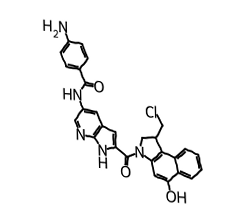 Nc1ccc(C(=O)Nc2cnc3[nH]c(C(=O)N4CC(CCl)c5c4cc(O)c4ccccc54)cc3c2)cc1